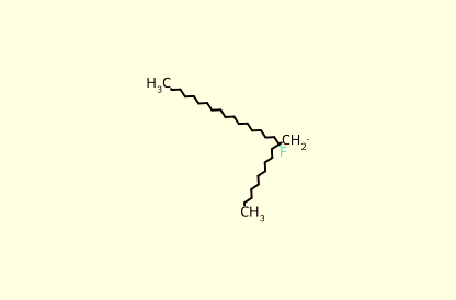 [CH2]C(F)(CCCCCCCCCC)CCCCCCCCCCCCCCCCC